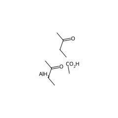 CC(=O)O.CCC(C)=O.CCC(C)=O.[AlH3]